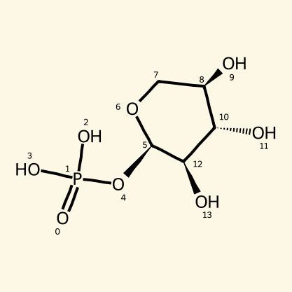 O=P(O)(O)O[C@H]1OC[C@@H](O)[C@H](O)[C@H]1O